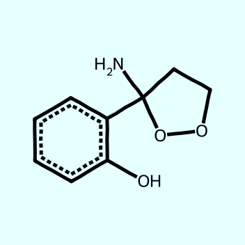 NC1(c2ccccc2O)CCOO1